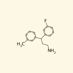 Cc1cccc(C(CCN)c2cccc(F)c2)c1